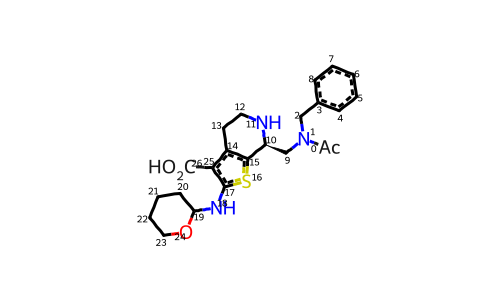 CC(=O)N(Cc1ccccc1)C[C@@H]1NCCc2c1sc(NC1CCCCO1)c2C(=O)O